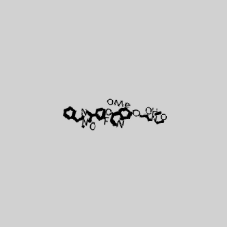 COc1cc2c(Oc3ccc(-c4cnc(Cc5ccccc5)n(C)c4=O)cc3F)ccnc2cc1OC[C@@H](O)CN1CCOCC1